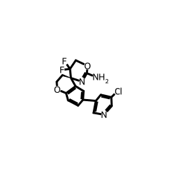 NC1=N[C@@]2(CCOc3ccc(-c4cncc(Cl)c4)cc32)C(F)(F)CO1